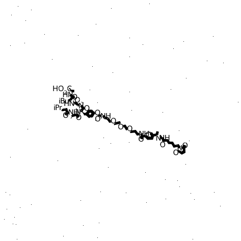 CCC(C)C(NC(=O)CN(C)C(=O)[C@@H](Cc1ccc(OC(=O)NCCCOCCOCCOCCCNC(=O)c2ccc(/C(C)=N/NC(=O)CCCCCN3C(=O)C=CC3=O)cc2)cc1)N(C)C(=O)[C@H](C)NC(=O)CCC(C)C)C(=O)N[C@H](C)C(=O)O